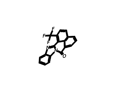 O=c1c2cccc3ccc(C(F)(F)F)c(c32)c2nc3ccccc3n12